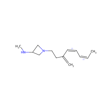 C=C(/C=C\C=C/C)CCN1CC(NC)C1